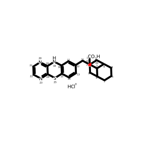 Cl.O=C(O)CC1C2CCCC1CN(Cc1ccc3c(c1)Nc1nccnc1S3)C2